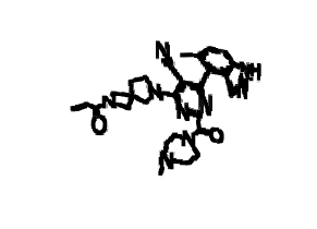 C=CC(=O)N1CC2(CCN(c3nc(C(=O)N4CCN(C)CC4)nc(-c4c(C)ccc5[nH]ncc45)c3C#N)C2)C1